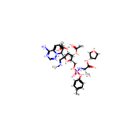 CN=C[C@@]1(C2C=CC=C3C(N)=NC=NN32)O[C@H](COP(=O)(N[C@@H](C)C(=O)O[C@H]2CCOC2)Oc2ccc(C(C)(C)C)cc2)[C@@H](OC(=O)C(C)C)[C@H]1OC(=O)C(C)C